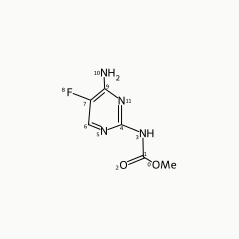 COC(=O)Nc1ncc(F)c(N)n1